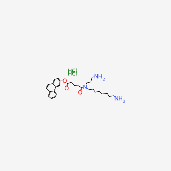 Cl.Cl.NCCCCCCCCN(CCCN)C(=O)CCCC(=O)Oc1ccc2ccc3ccccc3c2c1